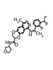 Cc1nnc(N[C@H](C)c2cccc(C(F)F)c2F)c2cc3c(cc12)OCC(C(=O)NC1CCOC1)O3